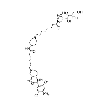 COc1cc(N)c(Cl)cc1C(=O)N[C@@H]1CCN(CCCCCC(=O)NC2CCN(CCCCCCCC(=O)NC[C@H](O)[C@@H](O)[C@H](O)[C@H](O)CO)CC2)C[C@@H]1OC